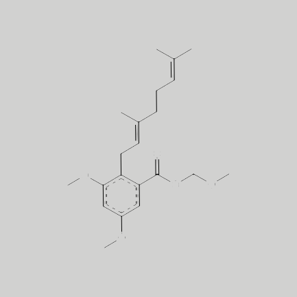 COCOC(=O)c1cc(OC)cc(OC)c1C/C=C(\C)CCC=C(C)C